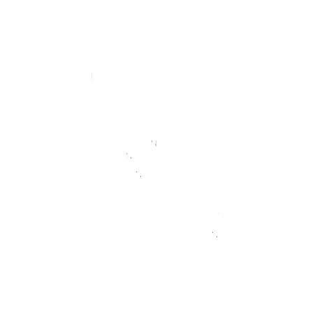 Cn1c(SCCCCl)nnc1-c1ccc(SN)cc1